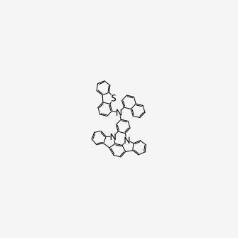 c1ccc2c(N(c3ccc4c(c3)n3c5ccccc5c5ccc6c7ccccc7n4c6c53)c3cccc4c3sc3ccccc34)cccc2c1